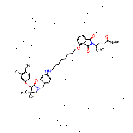 CNC(=O)CCC(C=O)N1C(=O)c2cccc(OCCCCCCCCNc3ccc(CN4CC(C)(C)C(Oc5ccc(C#N)c(C(F)(F)F)c5)C4=O)cc3)c2C1=O